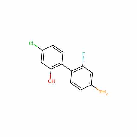 Oc1cc(Cl)ccc1-c1ccc(P)cc1F